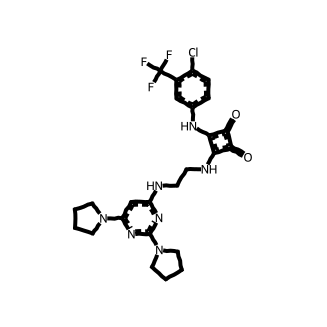 O=c1c(NCCNc2cc(N3CCCC3)nc(N3CCCC3)n2)c(Nc2ccc(Cl)c(C(F)(F)F)c2)c1=O